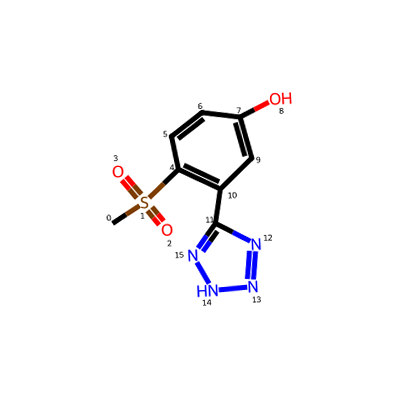 CS(=O)(=O)c1ccc(O)cc1-c1nn[nH]n1